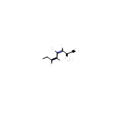 CC/C(F)=C(F)\C(F)=C(\Cl)C(=N)C#N